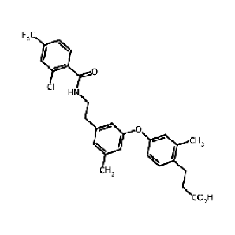 Cc1cc(CCNC(=O)c2ccc(C(F)(F)F)cc2Cl)cc(Oc2ccc(CCC(=O)O)c(C)c2)c1